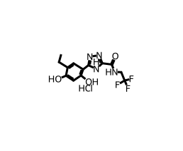 CCc1cc(-c2nnc(C(=O)NCC(F)(F)F)[nH]2)c(O)cc1O.Cl